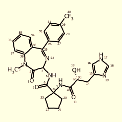 CN1C(=O)C(NC(=O)C2(NC(=O)[C@H](O)Cc3c[nH]cn3)CCCC2)N=C(c2ccc(C(F)(F)F)cc2)c2ccccc21